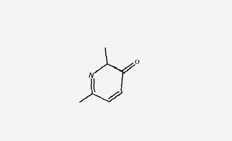 CC1=NC(C)C(=O)C=C1